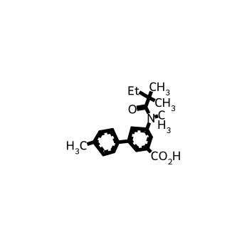 CCC(C)(C)C(=O)N(C)c1cc(C(=O)O)cc(-c2ccc(C)cc2)c1